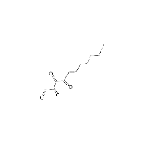 CCCCCCCC(=O)C(=O)C(=O)C=O